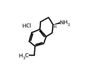 CCc1ccc2c(c1)C[C@H](N)CC2.Cl